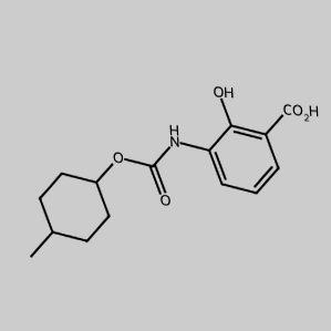 CC1CCC(OC(=O)Nc2cccc(C(=O)O)c2O)CC1